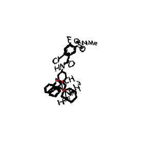 CNS(=O)(=O)c1cc(C(=O)NC2CCC(CCN3[C@@H]4CC[C@H]3CC(n3c(C)nc5ccccc53)C4)(c3ccccc3)CC2)c(Cl)cc1F